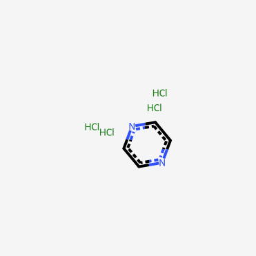 Cl.Cl.Cl.Cl.c1cnccn1